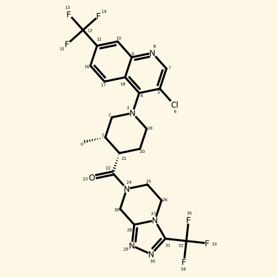 C[C@@H]1CN(c2c(Cl)cnc3cc(C(F)(F)F)ccc23)CC[C@@H]1C(=O)N1CCn2c(nnc2C(F)(F)F)C1